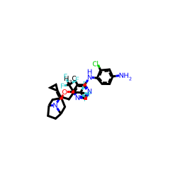 Cc1c(Nc2ccc(N)cc2Cl)ncnc1OC1CC2CCC(C1)N2C(CC(C(F)(F)F)C(F)(F)F)=C1CC1